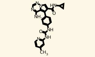 Cc1ccnc(NC(=O)Nc2ccc(-c3c(C(=O)NC4CC4)cn4ncnc(N)c34)cc2)c1